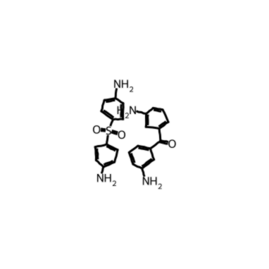 Nc1ccc(S(=O)(=O)c2ccc(N)cc2)cc1.Nc1cccc(C(=O)c2cccc(N)c2)c1